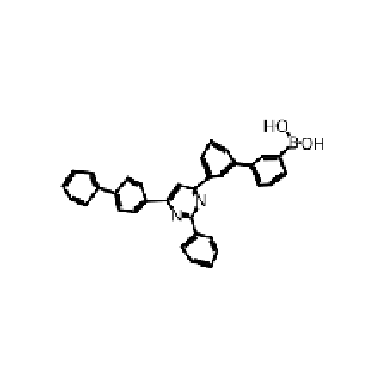 OB(O)c1cccc(-c2cccc(-c3cc(-c4ccc(-c5ccccc5)cc4)nc(-c4ccccc4)n3)c2)c1